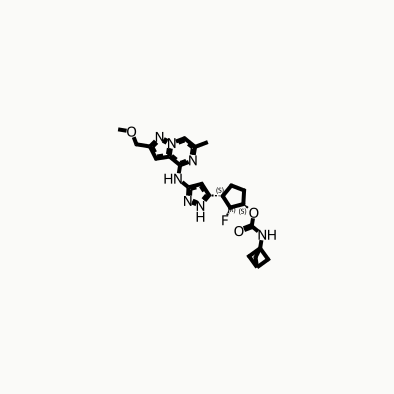 COCc1cc2c(Nc3cc([C@@H]4CC[C@H](OC(=O)NC56CC(C5)C6)[C@@H]4F)[nH]n3)nc(C)cn2n1